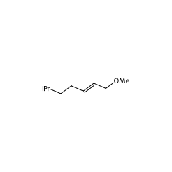 [CH2]OCC=CCCC(C)C